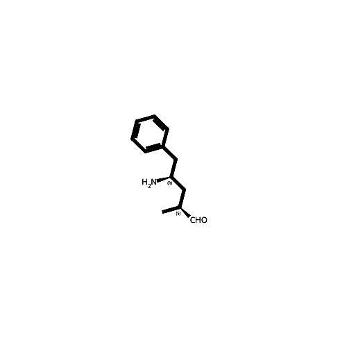 C[C@H](C=O)C[C@@H](N)Cc1ccccc1